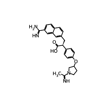 CC(=N)N1CCC(Oc2ccc([C@H](Cc3ccc4ccc(C(=N)N)cc4c3)C(=O)O)cc2)C1